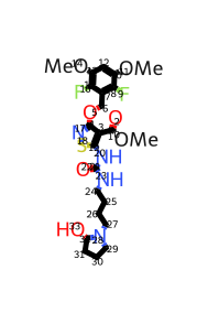 COC(=O)c1c(OCc2c(F)c(OC)cc(OC)c2F)nsc1NC(=O)NCCCCN1CCCC1O